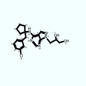 OCC(O)Cn1ncc2c(NC3(Cc4cccc(Cl)c4)CCCC3)ncnc21